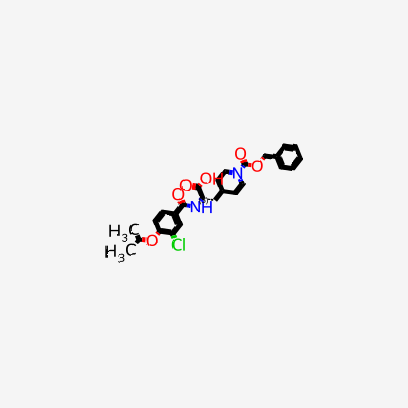 CC(C)Oc1ccc(C(=O)N[C@@H](CC2CCN(C(=O)OCc3ccccc3)CC2)C(=O)O)cc1Cl